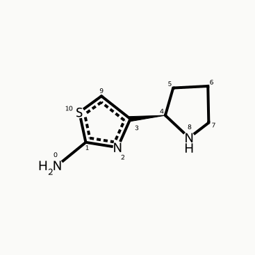 Nc1nc([C@H]2CCCN2)cs1